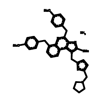 COc1ccc(Cc2cccc3c2nc(Cc2ccc(OC)cc2)c2nc(SC)n(Cc4ccc(CN5CCCC5)s4)c23)cc1.N